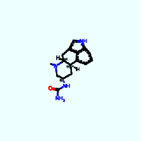 CN1C[C@@H](NC(N)=O)C[C@@H]2c3cccc4[nH]cc(c34)C[C@H]21